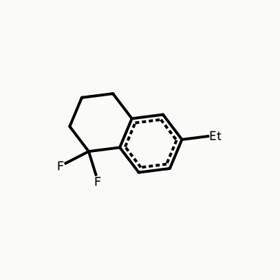 CCc1ccc2c(c1)CCCC2(F)F